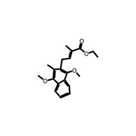 CCOC(=O)/C(C)=C/Cc1c(C)c(OC)c2ccccc2c1OC